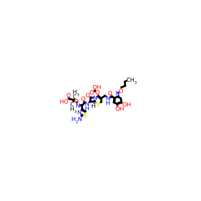 CCCCON=C1CC(O)=C(O)C=C1C(=O)NCC1=C(OC(=O)O)N2C(=O)C(NC(=O)/C(=N\OC(C)(C)C(=O)O)c3csc(N)n3)[C@@H]2SC1